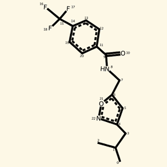 CC(C)Cc1cc(CNC(=O)c2ccc(C(F)(F)F)cc2)on1